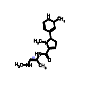 CN/C=C(\C)NC(=O)C1=CCC(C2=CC(C)NC=C2)N1C